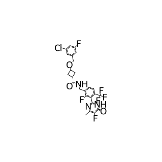 Cc1nc(-c2c(C(F)(F)F)ccc(CNC(=O)[C@H]3C[C@H](OCc4cc(F)cc(Cl)c4)C3)c2F)[nH]c(=O)c1F